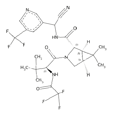 CC(C)(C)[C@H](NC(=O)C(F)(F)F)C(=O)N1C[C@H]2[C@@H]([C@H]1C(=O)NC(C#N)c1cncc(C(F)(F)F)c1)C2(C)C